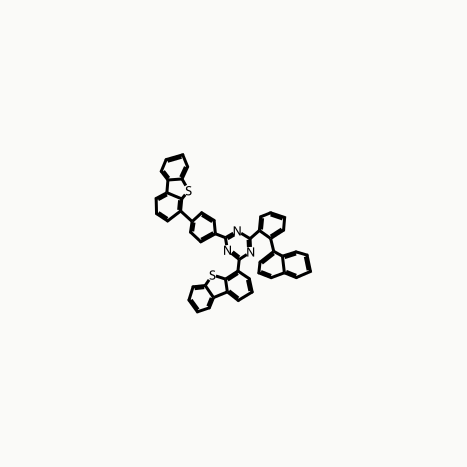 c1ccc(-c2cccc3ccccc23)c(-c2nc(-c3ccc(-c4cccc5c4sc4ccccc45)cc3)nc(-c3cccc4c3sc3ccccc34)n2)c1